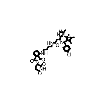 Cc1sc2c(c1C)C(c1ccc(Cl)cc1)=N[C@@H](CC(=O)NCCCCNc1cccc3c1C(=O)N(C1CCC(=O)NC1=O)C3=O)c1nnc(C)n1-2